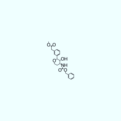 COC(=O)Cc1cccc(C2OCCC(NC(=O)OCc3ccccc3)C2O)c1